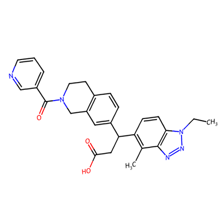 CCn1nnc2c(C)c(C(CC(=O)O)c3ccc4c(c3)CN(C(=O)c3cccnc3)CC4)ccc21